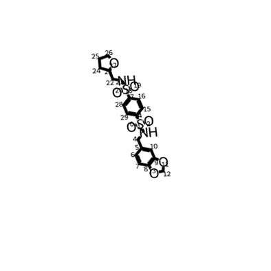 O=S(=O)(NCc1ccc2c(c1)OCO2)c1ccc(S(=O)(=O)NCC2CCCO2)cc1